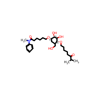 CC(C)C(=O)CCCCCO[C@@H]1C(CO)C[C@H](OCCCCCC(=O)N(C)c2ccccc2)[C@@H](O)C1O